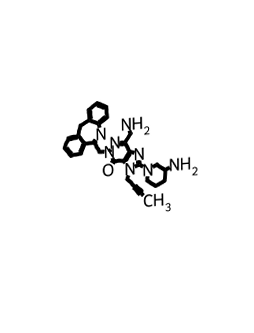 CC#CCn1c(N2CCCC(N)C2)nc2c(CN)nn(CC3=Nc4ccccc4Cc4ccccc43)c(=O)c21